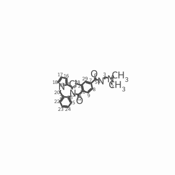 CN(C)C=NC(=O)c1ccc(C(=O)N2Cc3cccn3Cc3ccccc32)c(Cl)c1